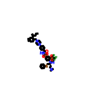 C=C(CCC)C1=C(CN2CCN(c3ccc(C(=O)NS(=O)(=O)c4ccc(N[C@H](CCN(C)C)CSc5ccccc5)c(S(=O)(=O)C(F)(F)F)c4)cc3)CC2)CCC(C)(C)C1